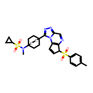 Cc1ccc(S(=O)(=O)C2C=Cc3c2ncc2nnc(C45CCC(N(C)S(=O)(=O)C6CC6)(CC4)CC5)n32)cc1